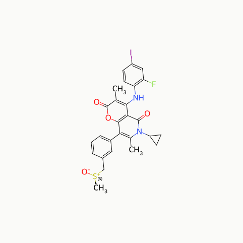 Cc1c(Nc2ccc(I)cc2F)c2c(=O)n(C3CC3)c(C)c(-c3cccc(C[S@@+](C)[O-])c3)c2oc1=O